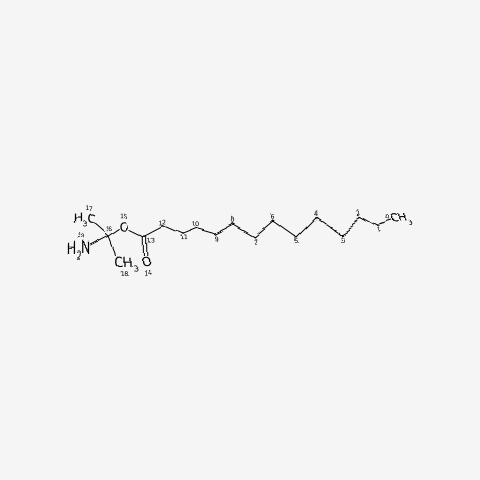 CCCCCCCCCCCCCC(=O)OC(C)(C)N